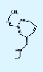 C/C=C\C1=CC(CNCF)C=CC=C1